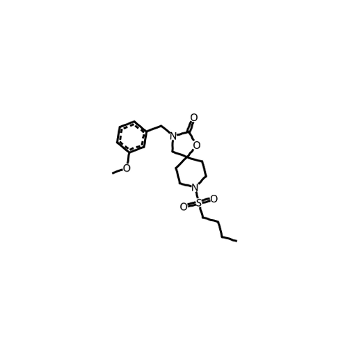 CCCCS(=O)(=O)N1CCC2(CC1)CN(Cc1cccc(OC)c1)C(=O)O2